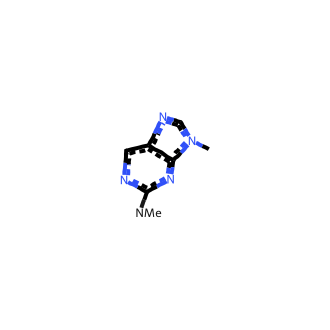 CNc1ncc2ncn(C)c2n1